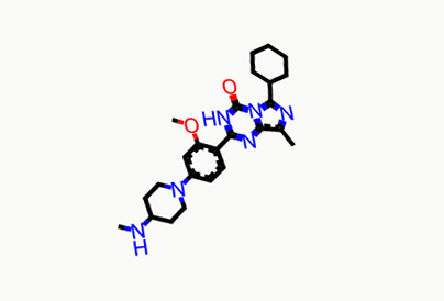 CNC1CCN(c2ccc(-c3nc4c(C)nc(C5CCCCC5)n4c(=O)[nH]3)c(OC)c2)CC1